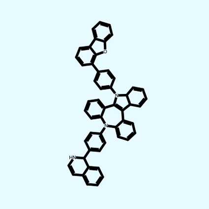 C1=CC2C3=C(c4ccccc4N(c4ccc(C5NC=Cc6ccccc65)cc4)c4ccccc43)N(c3ccc(-c4cccc5c4oc4ccccc45)cc3)C2C=C1